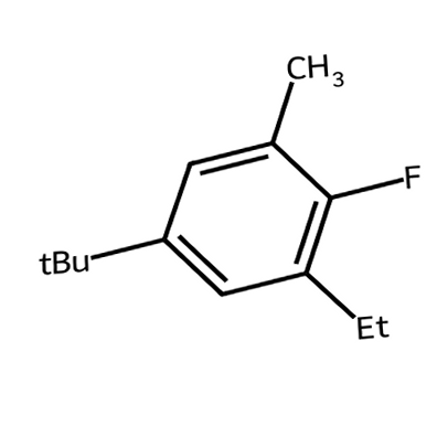 CCc1cc(C(C)(C)C)cc(C)c1F